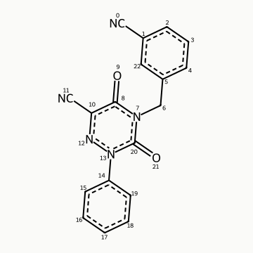 N#Cc1cccc(Cn2c(=O)c(C#N)nn(-c3ccccc3)c2=O)c1